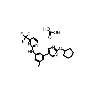 Cc1cc(Nc2nccc(C(F)(F)F)n2)cc(-c2cnc(OC3CCCCC3)nc2)c1.O=C(O)O